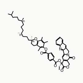 CC[C@@]1(OC(=O)c2ccc(C(=O)Oc3c(C)c(C)c4c(c3C)CC[C@@](C)(CCC[C@H](C)CCC[C@H](C)CCCC(C)C)O4)cc2)C(=O)OCc2c1cc1n(c2=O)Cc2cc3ccccc3nc2-1